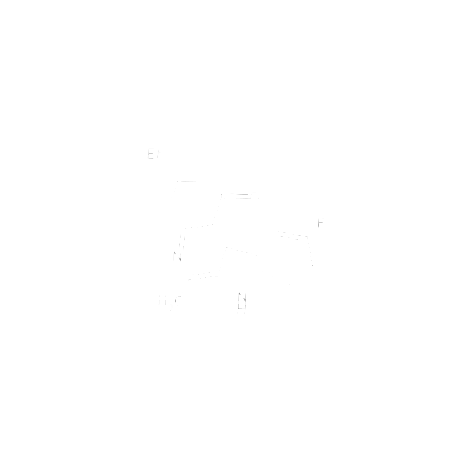 CCC1CC(=O)c2c(nc(C)c3[nH]c4ccc(F)cc4c23)C1